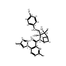 Cc1cn(-c2ccc(C)nc2C(=O)N2C3CC(C3)[C@@H](C)[C@H]2COc2ccc(F)cc2)nn1